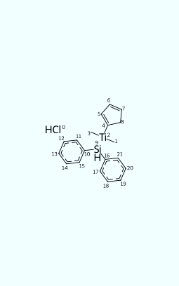 Cl.[CH3][Ti]([CH3])([C]1=CC=CC1)[SiH](c1ccccc1)c1ccccc1